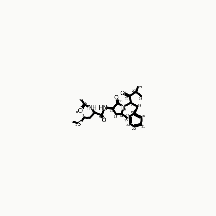 CSCCC(NC(C)=O)C(=O)NC1CC(C)N(C(Cc2ccccc2)C(=O)C(C)C)C1=O